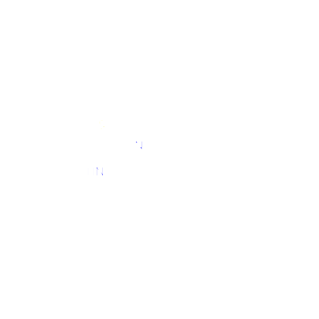 c1sc(NC2CCCCCCC2)nc1C1CCCCCCC1